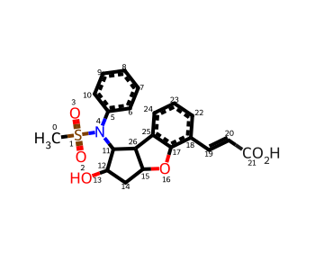 CS(=O)(=O)N(c1ccccc1)C1C(O)CC2Oc3c(C=CC(=O)O)cccc3C21